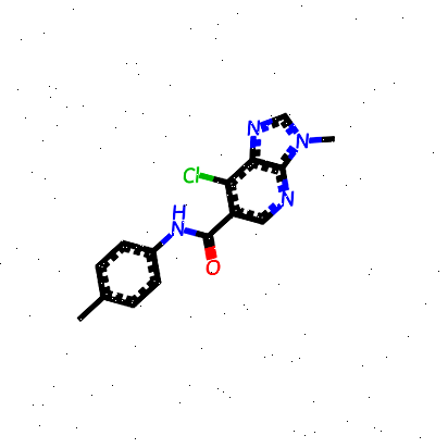 Cc1ccc(NC(=O)c2cnc3c(ncn3C)c2Cl)cc1